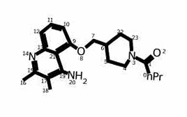 CCCC(=O)N1CCC(COc2cccc3nc(C)c(C)c(N)c23)CC1